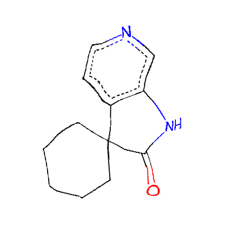 O=C1Nc2cnccc2C12CCCCC2